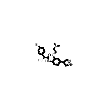 CN(C)CCOc1cc(-c2cn[nH]c2)ccc1NC(=O)C(O)c1ccc(Br)cc1